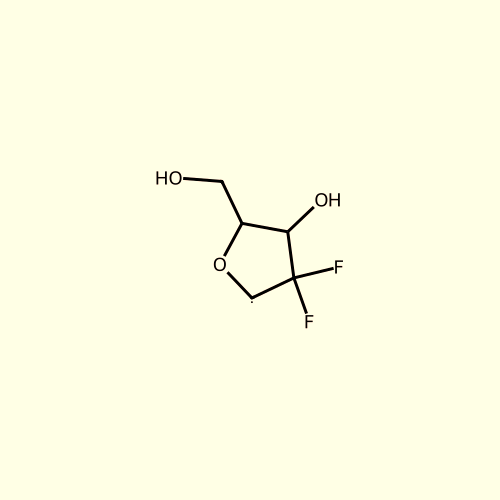 OCC1O[CH]C(F)(F)C1O